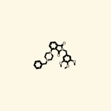 COc1cc(CN2C(=O)c3cccc(N4CCN(Cc5ccccc5)CC4)c3C2=O)cc(OC)c1OC